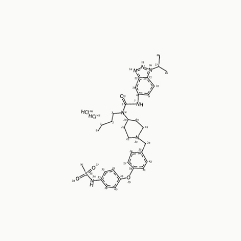 CCCCN(C(=O)Nc1ccc2c(c1)nnn2C(C)C)C1CCN(Cc2ccc(Oc3ccc(NS(C)(=O)=O)cc3)cc2)CC1.Cl.Cl